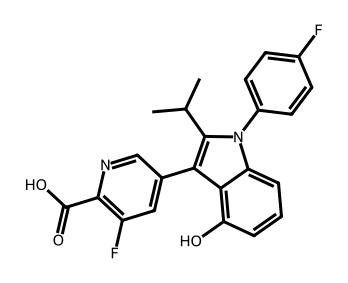 CC(C)c1c(-c2cnc(C(=O)O)c(F)c2)c2c(O)cccc2n1-c1ccc(F)cc1